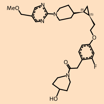 COCc1cnc(N2CCC([C@H]3C[C@H]3CCOc3ccc(CC(=O)N4CCC(O)CC4)c(F)c3)CC2)nc1